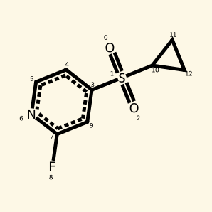 O=S(=O)(c1ccnc(F)c1)C1CC1